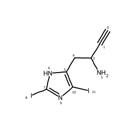 C#CC(N)Cc1[nH]c(I)nc1I